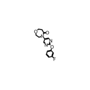 O=C1CCOCCN1c1cnc(Oc2cccc(F)c2)nc1